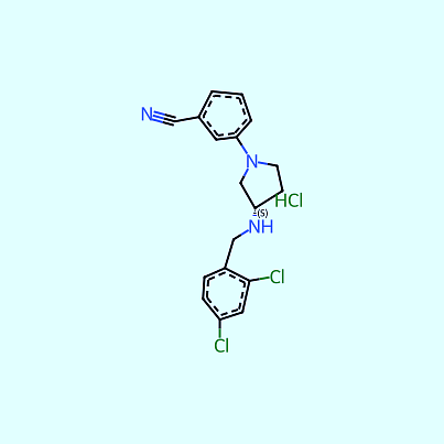 Cl.N#Cc1cccc(N2CC[C@H](NCc3ccc(Cl)cc3Cl)C2)c1